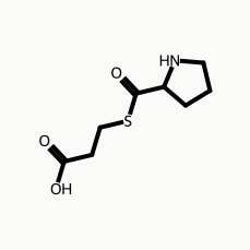 O=C(O)CCSC(=O)C1CCCN1